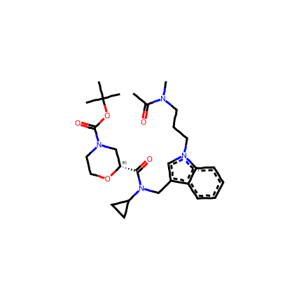 CC(=O)N(C)CCCn1cc(CN(C(=O)[C@H]2CN(C(=O)OC(C)(C)C)CCO2)C2CC2)c2ccccc21